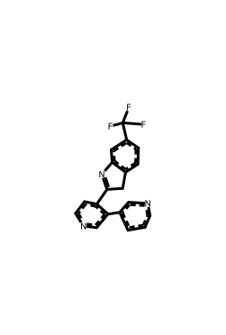 FC(F)(F)c1ccc2c(c1)N=C(c1ccncc1-c1cccnc1)C2